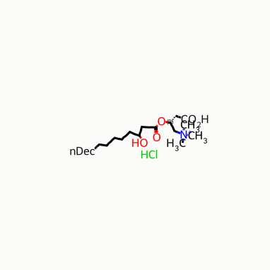 CCCCCCCCCCCCCCCC(O)CC(=O)O[C@H](CC(=O)O)C[N+](C)(C)C.Cl